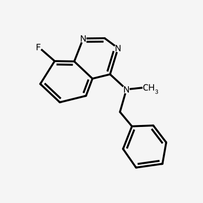 CN(Cc1ccccc1)c1ncnc2c(F)cccc12